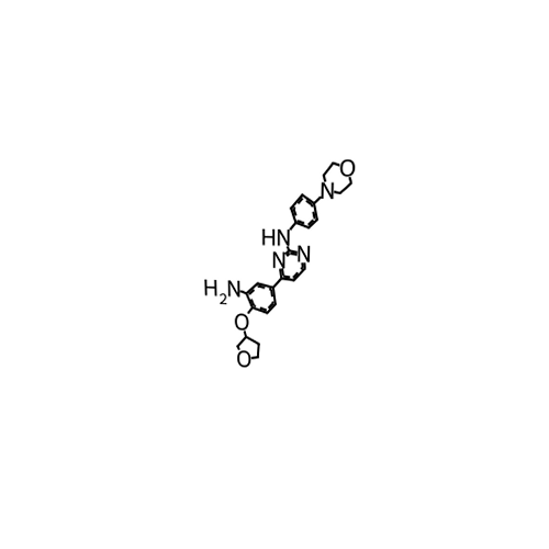 Nc1cc(-c2ccnc(Nc3ccc(N4CCOCC4)cc3)n2)ccc1OC1CCOC1